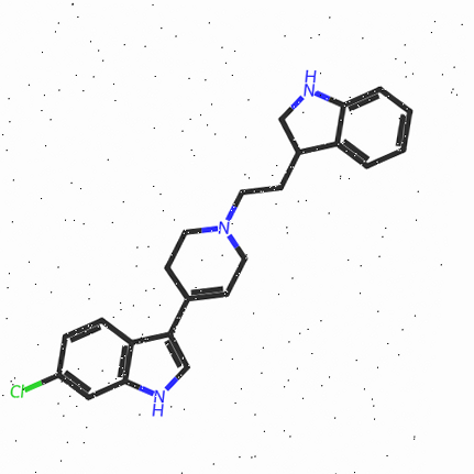 Clc1ccc2c(C3=CCN(CCC4CNc5ccccc54)CC3)c[nH]c2c1